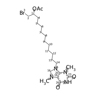 CC(=O)OC(CBr)CCCCCCCCCCCN1CN(C)c2c1n(C)c(=O)[nH]c2=O